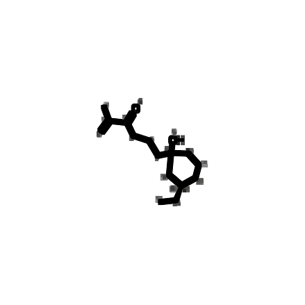 C=C(C)C(=O)CCCC1(O)CCC[C@@H](CC)C1